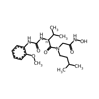 COc1ccccc1NC(=O)N[C@H](C(=O)N(CCC(C)C)CC(=O)NO)C(C)C